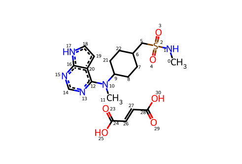 CNS(=O)(=O)CC1CCC(N(C)c2ncnc3[nH]ccc23)CC1.O=C(O)C=CC(=O)O